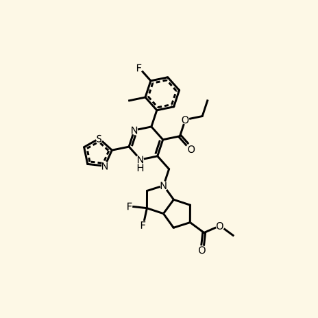 CCOC(=O)C1=C(CN2CC(F)(F)C3CC(C(=O)OC)CC32)NC(c2nccs2)=NC1c1cccc(F)c1C